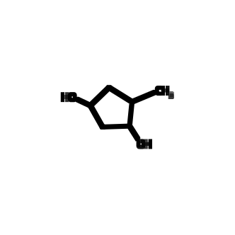 CC1CC(O)CC1O